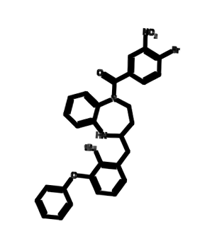 CC(C)(C)c1c(CC2CCN(C(=O)c3ccc(Br)c([N+](=O)[O-])c3)c3ccccc3N2)cccc1Oc1ccccc1